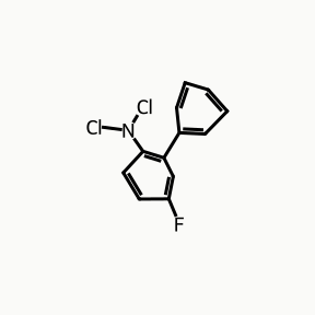 Fc1ccc(N(Cl)Cl)c(-c2ccccc2)c1